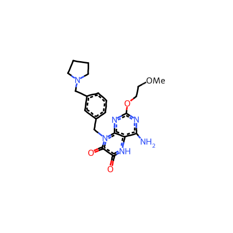 COCCOc1nc(N)c2[nH]c(=O)c(=O)n(Cc3cccc(CN4CCCC4)c3)c2n1